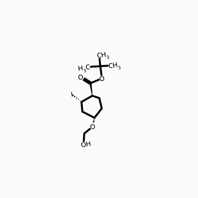 CC(C)(C)OC(=O)[C@H]1CC[C@H](OCO)C[C@@H]1I